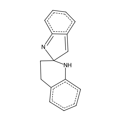 C1=c2ccccc2=NC12CCc1ccccc1N2